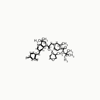 CC1COCCN1C[C@H]1CN(C(=O)OC(C)(C)C)[C@H](C)CN1CC(=O)N1CC(C)(C)c2ncc(Cc3ccc(F)cc3F)cc21